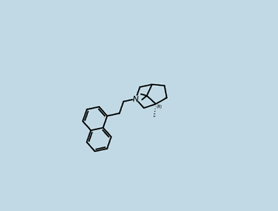 CC1(C)C2CC[C@@]1(C)CN(CCc1cccc3ccccc13)C2